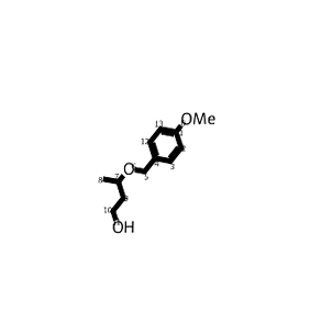 COc1ccc(COC(C)CCO)cc1